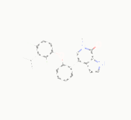 CC(C)c1c(F)ccc(Oc2ccccc2-c2cn(C)c(=O)c3[nH]ccc23)c1F